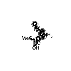 COCCO[C@]1(C(=O)NCCO)CC[C@H](c2nc3c(-c4cnn(-c5ccccc5)c4)cnn3c(N)c2S(C)(=O)=O)CC1